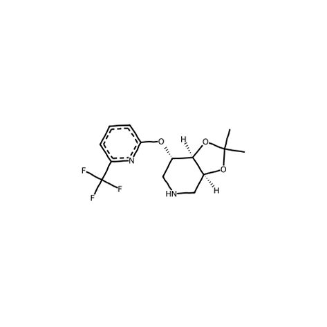 CC1(C)O[C@@H]2[C@@H](Oc3cccc(C(F)(F)F)n3)CNC[C@@H]2O1